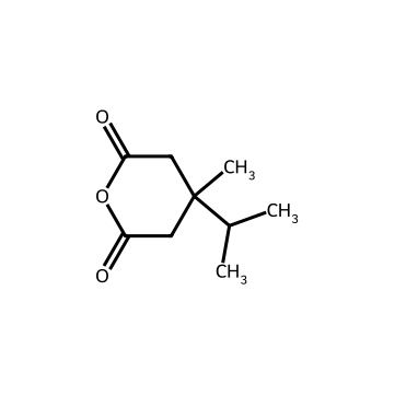 CC(C)C1(C)CC(=O)OC(=O)C1